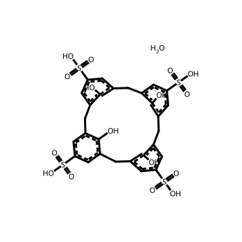 O.O=S(=O)(O)c1cc2c(O)c(c1)Cc1cc(S(=O)(=O)O)cc(c1O)Cc1cc(S(=O)(=O)O)cc(c1O)Cc1cc(S(=O)(=O)O)cc(c1O)C2